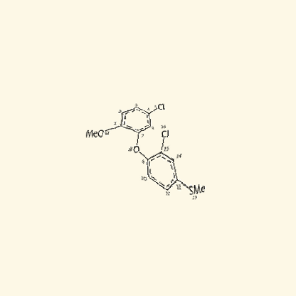 COc1ccc(Cl)cc1Oc1ccc(SC)cc1Cl